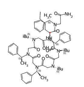 CC[C@H](C)N(CC(=O)N(CC(=O)N(CC(=O)N(CC(=O)N(CC(=O)N(CC(=O)N(CC(N)=O)[C@@H](C)c1ccccc1)[C@@H](C)c1ccccc1)[C@@H](C)CC)[C@@H](C)c1ccccc1)[C@@H](C)c1ccccc1)[C@@H](C)CC)C(=O)CNCCCCI